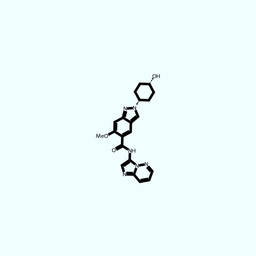 COc1cc2nn([C@H]3CC[C@@H](O)CC3)cc2cc1C(=O)Nc1cnc2cccnn12